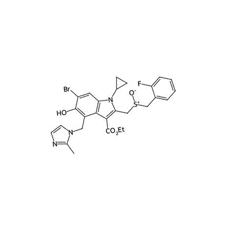 CCOC(=O)c1c(C[S+]([O-])Cc2ccccc2F)n(C2CC2)c2cc(Br)c(O)c(Cn3ccnc3C)c12